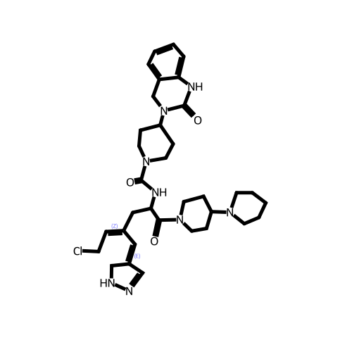 O=C(NC(CC(=C/CCl)/C=C1/C=NNC1)C(=O)N1CCC(N2CCCCC2)CC1)N1CCC(N2Cc3ccccc3NC2=O)CC1